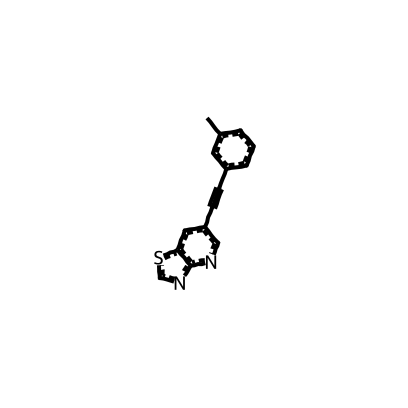 Cc1cccc(C#Cc2cnc3ncsc3c2)c1